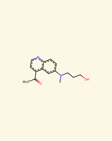 CC(C)COC(=O)c1ccnc2ccc(N(C)CCCO)cc12